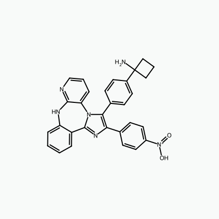 NC1(c2ccc(-c3c(-c4ccc([N+](=O)O)cc4)nc4n3-c3cccnc3Nc3ccccc3-4)cc2)CCC1